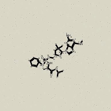 CNc1nc(N)nc2c1ncn2[C@@H]1O[C@H](CO[P@](=O)(N[C@H](C)C(=O)OC(C)C)Oc2ccccc2)CC1(C)C